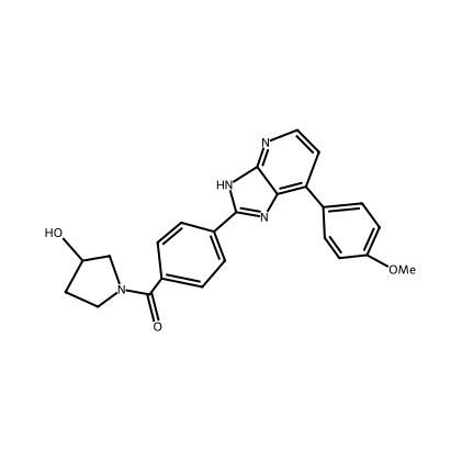 COc1ccc(-c2ccnc3[nH]c(-c4ccc(C(=O)N5CCC(O)C5)cc4)nc23)cc1